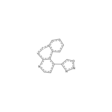 c1ccc2c(c1)ccc1nccc(-c3conn3)c12